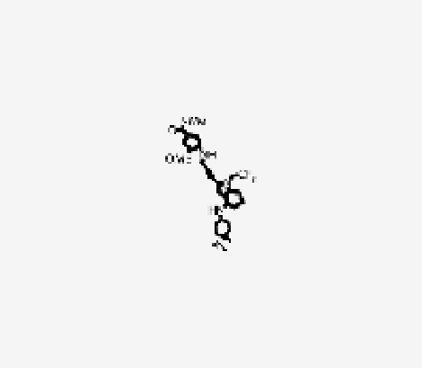 CNC(=O)c1ccc(NCC#Cc2cc3c(NC4CCC(C)(N(C)C)CC4)cccc3n2CC(F)(F)F)c(OC)c1